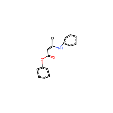 CC/C(=C/C(=O)Oc1ccccc1)Nc1ccccc1